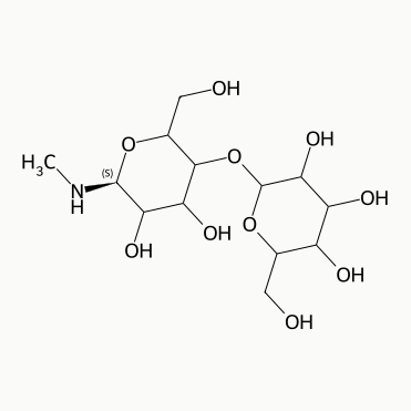 CN[C@H]1OC(CO)C(OC2OC(CO)C(O)C(O)C2O)C(O)C1O